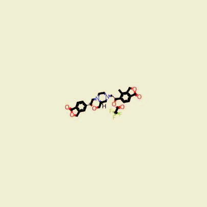 Cc1c([C@@H](CN2CCN3C[C@@H](c4ccc5c(c4)COC5=O)OC[C@@H]3C2)OC(=O)C(F)(F)F)ccc2c1COC2=O